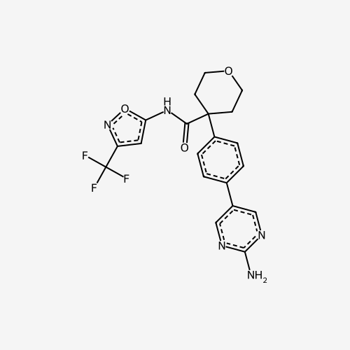 Nc1ncc(-c2ccc(C3(C(=O)Nc4cc(C(F)(F)F)no4)CCOCC3)cc2)cn1